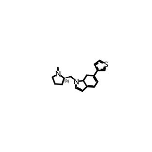 CN1CCC[C@@H]1CN1C=CC2=CC=C(c3ccsc3)CC21